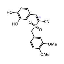 COc1ccc(CS(=O)(=O)/C(C#N)=C\c2ccc(O)c(O)c2)cc1OC